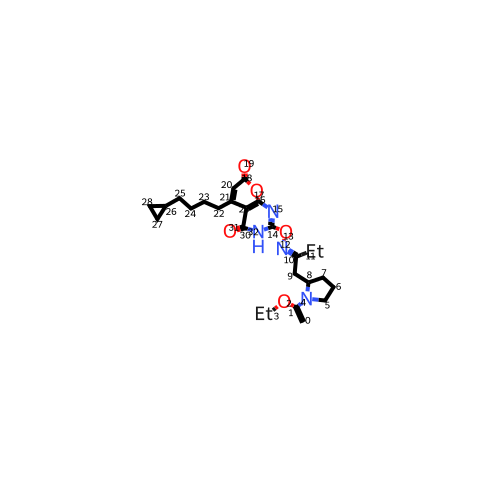 C=C(OCC)N1CCCC1C/C(CC)=N/Oc1nc2oc(=O)cc(CCCCC3CC3)c2c(=O)[nH]1